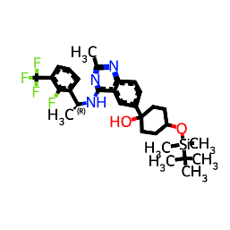 Cc1nc(N[C@H](C)c2cccc(C(F)(F)F)c2F)c2cc(C3(O)CCC(O[Si](C)(C)C(C)(C)C)CC3)ccc2n1